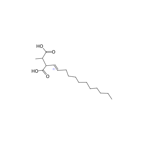 CCCCCCCCCC/C=C/C(C(=O)O)C(C)C(=O)O